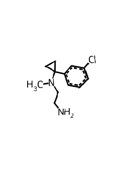 CN(CCN)C1(c2cccc(Cl)c2)CC1